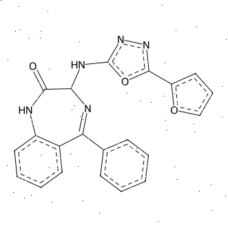 O=C1Nc2ccccc2C(c2ccccc2)=NC1Nc1nnc(-c2ccco2)o1